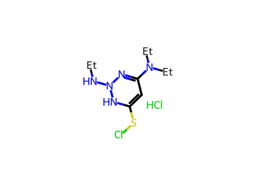 CCNN1N=C(N(CC)CC)C=C(SCl)N1.Cl